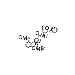 COc1cccc(OC)c1-c1cc(C(=O)NC(CCc2ccccc2)CC(=O)O)nn1CC(C)C